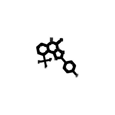 O=c1[nH]c2cccc(C(F)(F)F)c2c2nc(-c3ccc(F)cc3)nn12